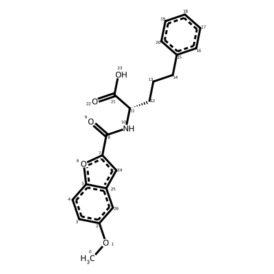 COc1ccc2oc(C(=O)N[C@@H](CCCc3ccccc3)C(=O)O)cc2c1